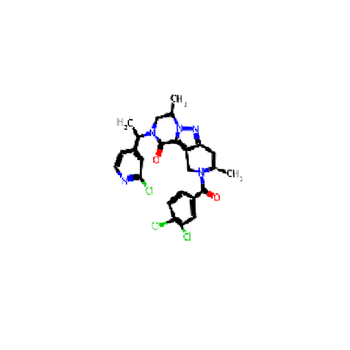 CC(c1ccnc(Cl)c1)N1C[C@@H](C)n2nc3c(c2C1=O)CN(C(=O)c1ccc(Cl)c(Cl)c1)[C@H](C)C3